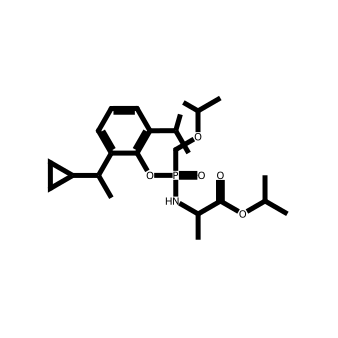 CC(C)OCP(=O)(NC(C)C(=O)OC(C)C)Oc1c(C(C)C)cccc1C(C)C1CC1